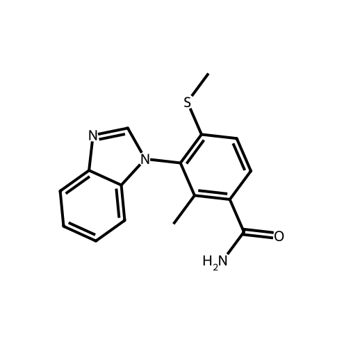 CSc1ccc(C(N)=O)c(C)c1-n1cnc2ccccc21